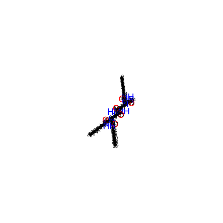 CCCCCCCCCCCCNC(=O)CCN(CCCCC1NC(=O)C(CCCCN(CCC(=O)NCCCCCCCCCCCC)CCC(=O)NCCCCCCCCCCCC)NC1=O)CCC(=O)NC